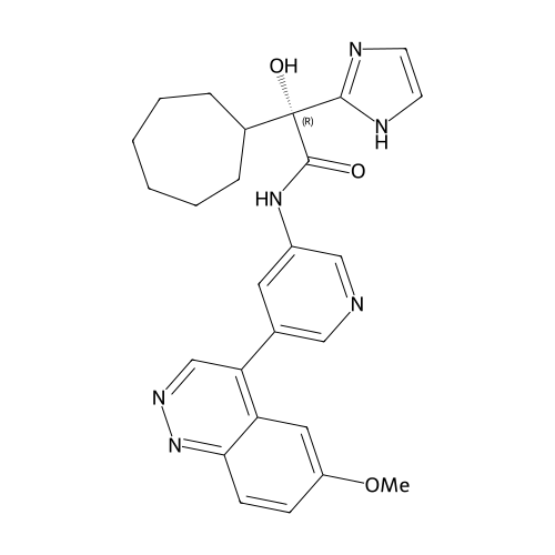 COc1ccc2nncc(-c3cncc(NC(=O)[C@](O)(c4ncc[nH]4)C4CCCCCC4)c3)c2c1